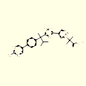 CC(C)C(C)(c1ccc(-c2cnc(N)nc2)cc1)c1noc(-c2cnn(C(C)(C)C(=O)O)c2)n1